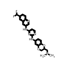 CN(C)CC1COc2cc(Nc3nccc(Nc4cnc5ccc(C(F)F)cc5c4)n3)ccc2O1